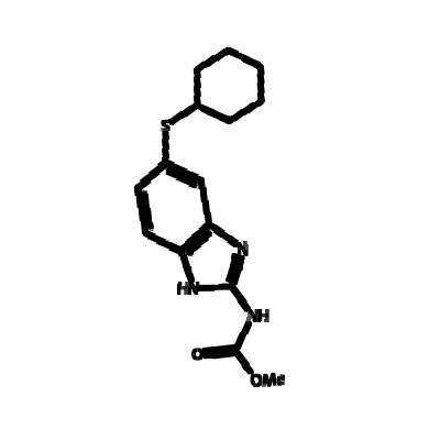 COC(=O)Nc1nc2cc(SC3CCCCC3)ccc2[nH]1